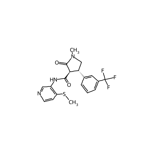 CSc1ccncc1NC(=O)[C@H]1C(=O)N(C)C[C@@H]1c1cccc(C(F)(F)F)c1